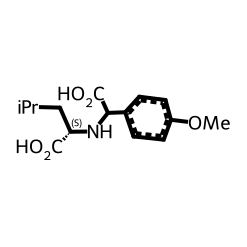 COc1ccc(C(N[C@@H](CC(C)C)C(=O)O)C(=O)O)cc1